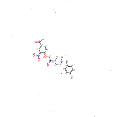 CC(=O)c1ccc(OCC(=O)N2CCN(Cc3ccc(Cl)cc3)CC2)c([N+](=O)[O-])c1